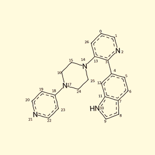 c1cnc(-c2ccc3cc[nH]c3c2)c(N2CCN(c3ccncc3)CC2)c1